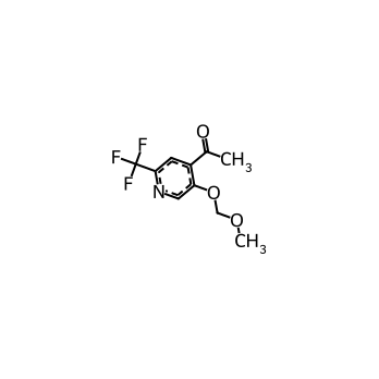 COCOc1cnc(C(F)(F)F)cc1C(C)=O